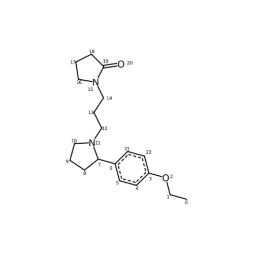 CCOc1ccc(C2CCCN2CCCN2CCCC2=O)cc1